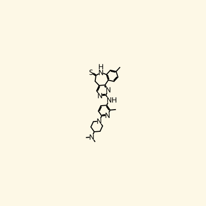 Cc1ccc2c(c1)NC(=S)Cc1cnc(Nc3ccc(N4CCC(N(C)C)CC4)nc3C)nc1-2